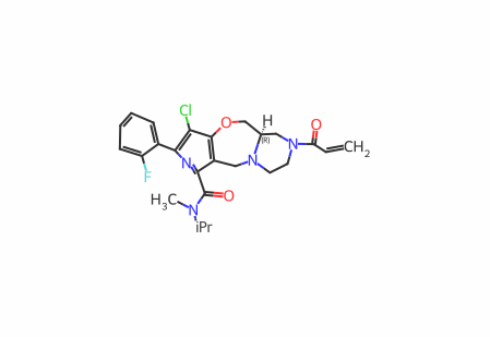 C=CC(=O)N1CCN2Cc3c(C(=O)N(C)C(C)C)nc(-c4ccccc4F)c(Cl)c3OC[C@H]2C1